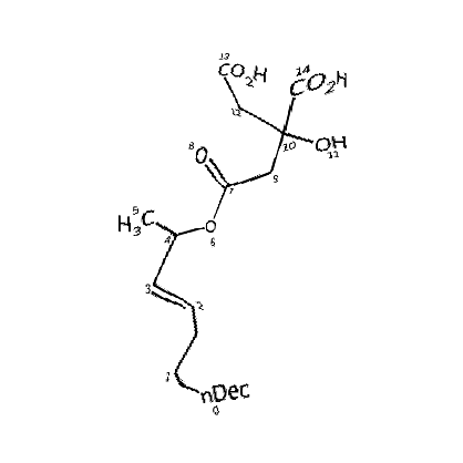 CCCCCCCCCCCC=CC(C)OC(=O)CC(O)(CC(=O)O)C(=O)O